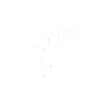 OCc1ccc(B(O)OCC(O)CO)c(F)c1